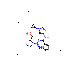 OC[C@@H]1CCCN1c1nc(Nc2cn(C3CC3)cn2)c2cccn2n1